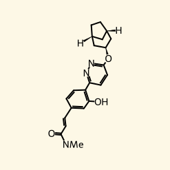 CNC(=O)/C=C/c1ccc(-c2ccc(O[C@H]3C[C@@H]4CC[C@@H](C4)C3)nn2)c(O)c1